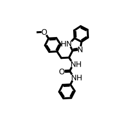 COc1ccc(CC(NC(=O)Nc2ccccc2)c2nc3ccccc3[nH]2)cc1